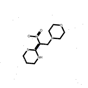 O=[N+]([O-])/C(CN1CCOCC1)=C1/NCCCS1